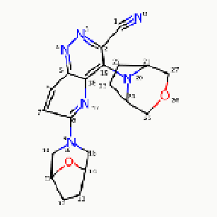 N#Cc1nnc2ccc(N3CC4CCC(C3)O4)nc2c1N1C2CCC1COC2